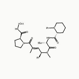 CCCCCCCCNC(=O)[C@@H]1CCCN1C(=O)/C(C)=C/[C@H](C(C)C)N(C)C(=O)[C@@H](NC(=O)[C@H]1CCCCN1C(C)C)C(C)(C)C